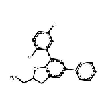 NCC1Cc2cc(-c3ccccc3)cc(-c3cc(Cl)ccc3Cl)c2O1